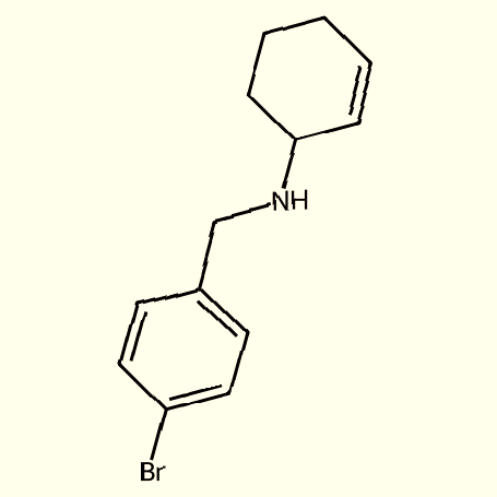 Brc1ccc(CNC2C=CCCC2)cc1